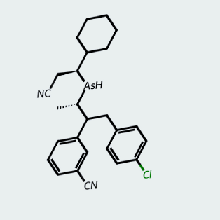 C[C@H]([AsH][C@@H](CC#N)C1CCCCC1)C(Cc1ccc(Cl)cc1)c1cccc(C#N)c1